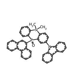 C[Si]1(C)c2ccccc2P(=O)(c2cc3ccccc3c3ccccc23)c2cc(-n3c4ccccc4c4ccccc43)ccc21